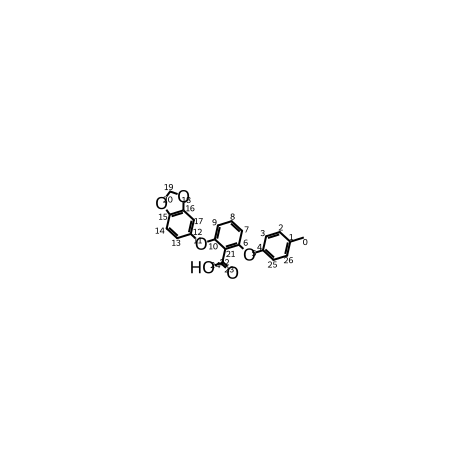 Cc1ccc(Oc2cccc(Oc3ccc4c(c3)OCO4)c2C(=O)O)cc1